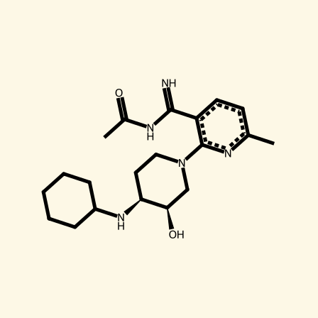 CC(=O)NC(=N)c1ccc(C)nc1N1CC[C@H](NC2CCCCC2)[C@H](O)C1